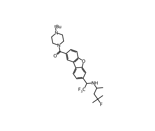 CC(CC(C)(C)F)NC(c1ccc2c(c1)oc1ccc(C(=O)N3CCN(C(C)(C)C)CC3)cc12)C(F)(F)F